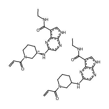 C=CC(=O)N1CCCC(Nc2cnc3[nH]cc(C(=O)NCC)c3n2)C1.C=CC(=O)N1CCC[C@@H](Nc2cnc3[nH]cc(C(=O)NCC)c3n2)C1